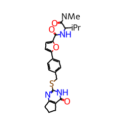 CNC(=O)C(NC(=O)c1ccc(-c2ccc(CSc3nc4c(c(=O)[nH]3)CCC4)cc2)o1)C(C)C